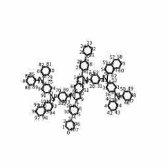 c1ccc(-c2ccc(-c3cc4cc5c(cc(-c6ccc(-c7ccccc7)cc6)n5-c5ccc(N(c6ccc(N(c7ccccc7)c7ccccc7)cc6)c6ccc7ccccc7c6)cc5)cc4n3-c3ccc(N(c4ccc(N(c5ccccc5)c5ccccc5)cc4)c4ccc5ccccc5c4)cc3)cc2)cc1